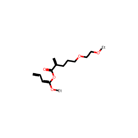 C=CC=C(OCC)OC(=O)C(=C)CCCOCCOCC